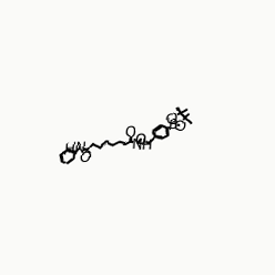 CC1(C)OB(c2ccc(CONC(=O)CCCCCCC(=O)Nc3ccccc3)cc2)OC1(C)C